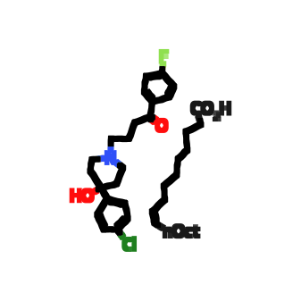 CCCCCCCC/C=C\CCCCCCCC(=O)O.O=C(CCCN1CCC(O)(c2ccc(Cl)cc2)CC1)c1ccc(F)cc1